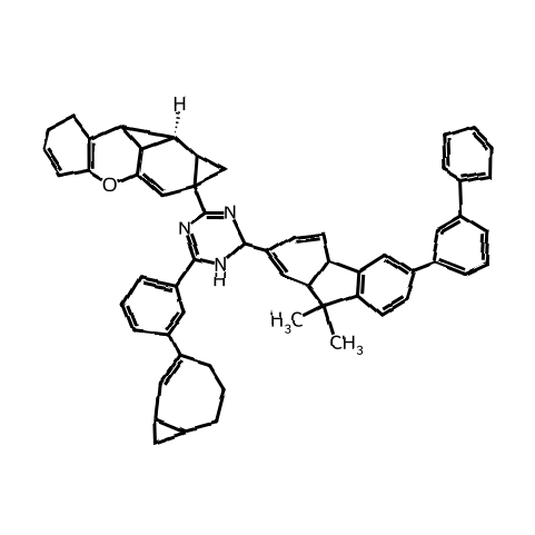 CC1(C)c2ccc(-c3cccc(-c4ccccc4)c3)cc2C2C=CC(C3N=C(C45C=C6OC7=C(CCC=C7)C7C6[C@@H]7C4C5)N=C(c4cccc(C5=CC6CC6CCC5)c4)N3)=CC21